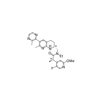 CCN(C[C@H]1CCc2cc(-c3nccnc3C)c(C)nc2N1)C(=O)[C@H](C)c1cc(OC)ncc1F